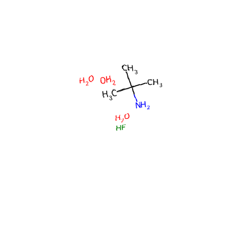 CC(C)(C)N.F.O.O.O